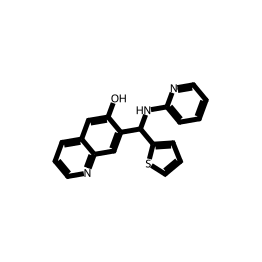 Oc1cc2cccnc2cc1C(Nc1ccccn1)c1cccs1